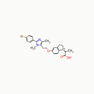 Cc1nc(-c2ccc(Br)cc2)n(C)c1CCOc1ccc2c(c1)CC[C@H]2C(C)C(=O)O